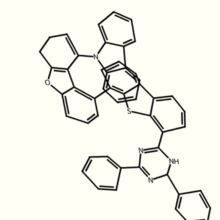 C1=C(n2c3ccccc3c3ccccc32)c2c(oc3cccc(-c4cccc5c4sc4c(C6=NC(c7ccccc7)=NC(c7ccccc7)N6)cccc45)c23)CC1